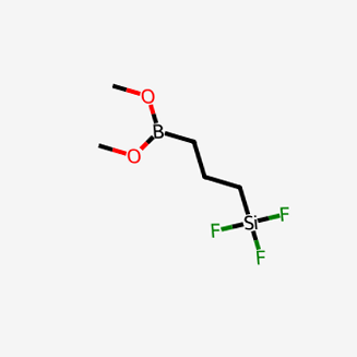 COB(CCC[Si](F)(F)F)OC